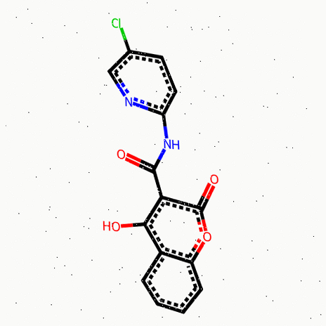 O=C(Nc1ccc(Cl)cn1)c1c(O)c2ccccc2oc1=O